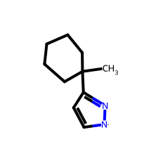 CC1(C2=N[N]C=C2)CCCCC1